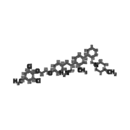 C=C1CCN(Cc2ccccc2-c2ccc(C(CN)Cc3ccc(OCCOc4c(Cl)cc(C)cc4Cl)cc3)c(C)c2)CC1